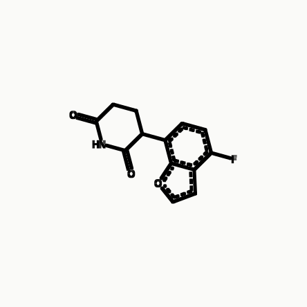 O=C1CCC(c2ccc(F)c3ccoc23)C(=O)N1